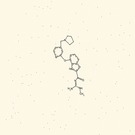 CNC(N)=NC(=O)c1cc2cccc(Oc3cc(CN4CCCC4)ccn3)c2[nH]1